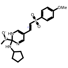 COc1ccc(S(=O)(=O)/C=C/C2=CNC(NC3CCCC3)([S+](C)[O-])N=C2)cc1